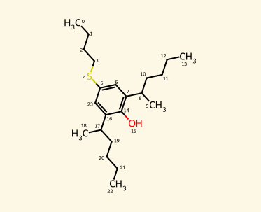 CCCCSc1cc(C(C)CCCC)c(O)c(C(C)CCCC)c1